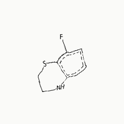 Fc1cccc2c1SCCN2